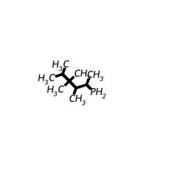 CC(P)C(C)C(C)(C)C(C)C